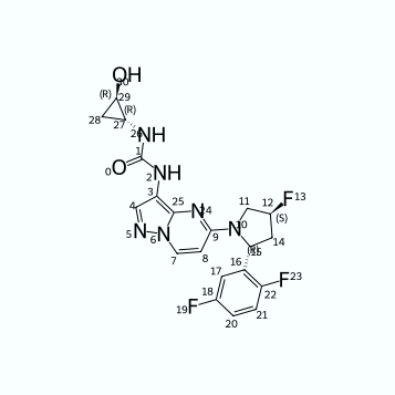 O=C(Nc1cnn2ccc(N3C[C@@H](F)C[C@@H]3c3cc(F)ccc3F)nc12)N[C@@H]1C[C@H]1O